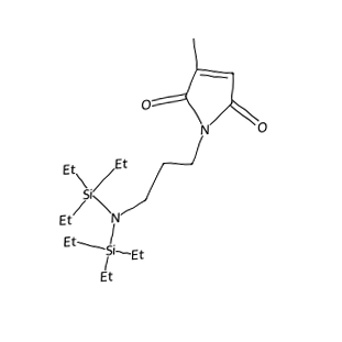 CC[Si](CC)(CC)N(CCCN1C(=O)C=C(C)C1=O)[Si](CC)(CC)CC